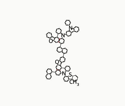 CC12C=CC=CC1Sc1c(N(c3ccc(-c4cccc5ccccc45)cc3)c3ccccc3-c3cccc4oc5cc(-c6cccc7c(-c8ccc(N(c9ccc%10c%11ccccc%11n(-c%11ccccc%11)c%10c9)c9ccccc9-c9cccc%10oc%11ccccc%11c9%10)cc8)cccc67)ccc5c34)cccc12